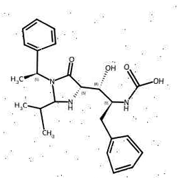 CC(C)C1N[C@@H]([C@H](O)[C@H](Cc2ccccc2)NC(=O)O)C(=O)N1[C@@H](C)c1ccccc1